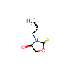 C=CCN1C(=O)COC1=S